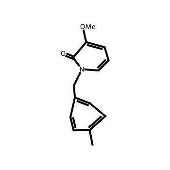 COc1cccn(Cc2ccc(C)cc2)c1=O